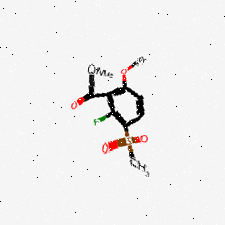 COC(=O)c1c(OC(C)C)ccc(S(C)(=O)=O)c1F